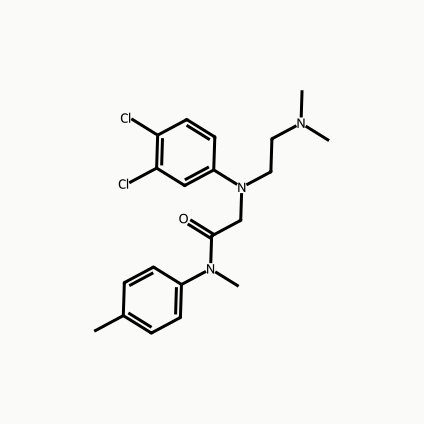 Cc1ccc(N(C)C(=O)CN(CCN(C)C)c2ccc(Cl)c(Cl)c2)cc1